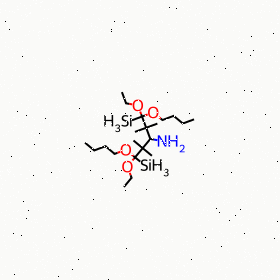 CCCCOC([SiH3])(OCC)C(C)(C)C(N)C(C)(C)C([SiH3])(OCC)OCCCC